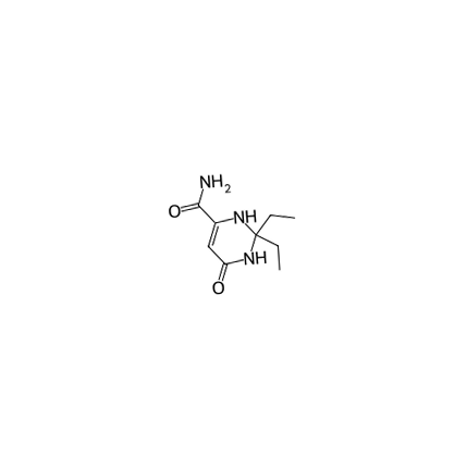 CCC1(CC)NC(=O)C=C(C(N)=O)N1